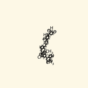 COc1cc(-c2cn(C)c(=O)c3cnccc23)cc(Cl)c1C(=O)N1CCc2c(CC3CCN(c4ccc(NC5CCC(=O)NC5=O)cc4F)CC3)cccc2C1